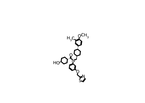 COc1ccc([C@H]2CC[C@H](CN(c3cccc(OCc4nccs4)c3)C(=O)[C@H]3CC[C@H](O)CC3)CC2)cc1C